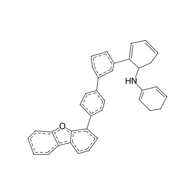 C1=CCC(NC2=CCCC=C2)C(c2cccc(-c3ccc(-c4cccc5c4oc4ccccc45)cc3)c2)=C1